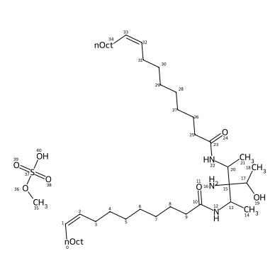 CCCCCCCC/C=C\CCCCCCCC(=O)NC(C)C(N)(C(C)O)C(C)NC(=O)CCCCCCC/C=C\CCCCCCCC.COS(=O)(=O)O